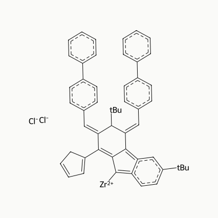 CC(C)(C)c1ccc2c(c1)=C1C(=Cc3ccc(-c4ccccc4)cc3)C(C(C)(C)C)C(=Cc3ccc(-c4ccccc4)cc3)C(C3=CC=CC3)=C1[C]=2[Zr+2].[Cl-].[Cl-]